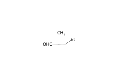 C.CCCC=O